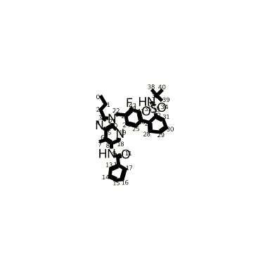 CCCc1nc2c(C)c(NC(=O)c3ccccc3)cnc2n1Cc1ccc(-c2ccccc2S(=O)(=O)NC(C)(C)C)cc1F